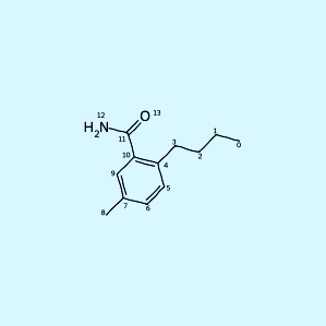 CCCCc1ccc(C)cc1C(N)=O